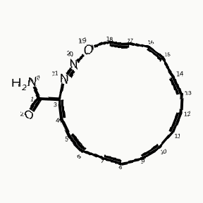 NC(=O)C1=CC=CC=CC=CC=CC=CC=CC=CON=N1